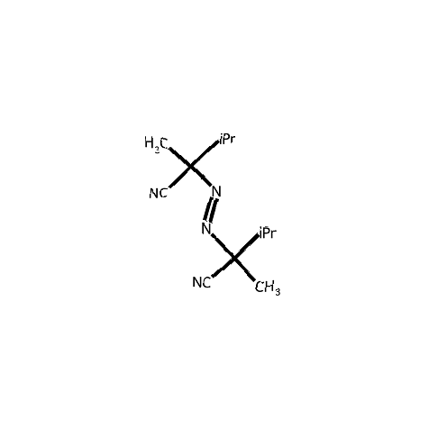 CC(C)C(C)(C#N)N=NC(C)(C#N)C(C)C